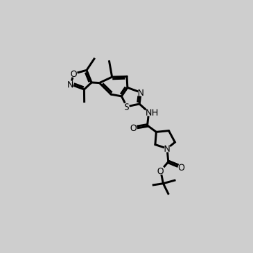 Cc1cc2nc(NC(=O)C3CCN(C(=O)OC(C)(C)C)C3)sc2cc1-c1c(C)noc1C